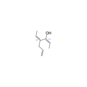 C=CCC(=C/C)/C(O)=C\C